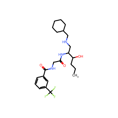 CCCC(O)C(CNCC1CCCCC1)NC(=O)CNC(=O)c1cccc(C(F)(F)F)c1